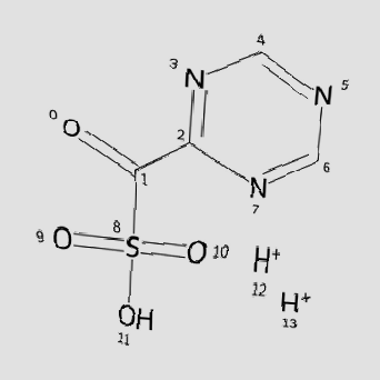 O=C(c1ncncn1)S(=O)(=O)O.[H+].[H+]